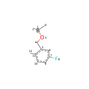 CB(C)OCc1cc(F)ccc1C